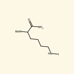 CNC(CCCCNI)C(N)=O